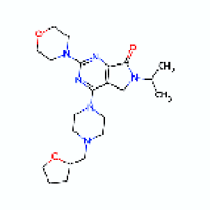 CC(C)N1Cc2c(nc(N3CCOCC3)nc2N2CCN(CC3CCCO3)CC2)C1=O